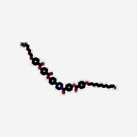 CCCCCCCCCCOc1ccc(C(=O)Oc2ccc(C(=O)N3CCN(c4ccc(OC(=O)c5ccc(OC(=O)c6ccc(OCCCCCC)cc6)cc5)cc4)CC3)cc2)cc1